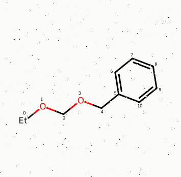 CCO[CH]OCc1ccccc1